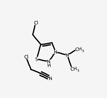 CN(C)N1C=C(CCl)SN1.N#CCCl